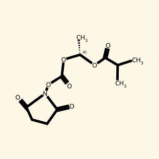 CC(C)C(=O)O[C@@H](C)OC(=O)ON1C(=O)CCC1=O